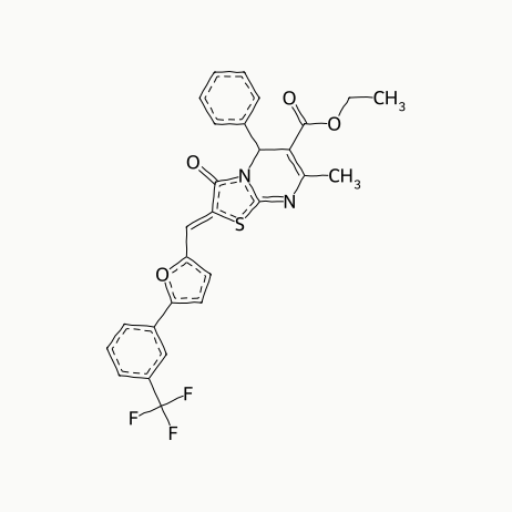 CCOC(=O)C1=C(C)N=c2sc(=Cc3ccc(-c4cccc(C(F)(F)F)c4)o3)c(=O)n2C1c1ccccc1